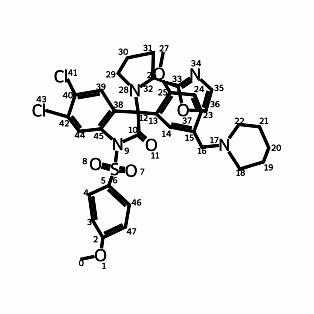 COc1ccc(S(=O)(=O)N2C(=O)C(c3cc(CN4CCCCC4)ccc3OC)(N3CCC[C@H]3c3ncco3)c3cc(Cl)c(Cl)cc32)cc1